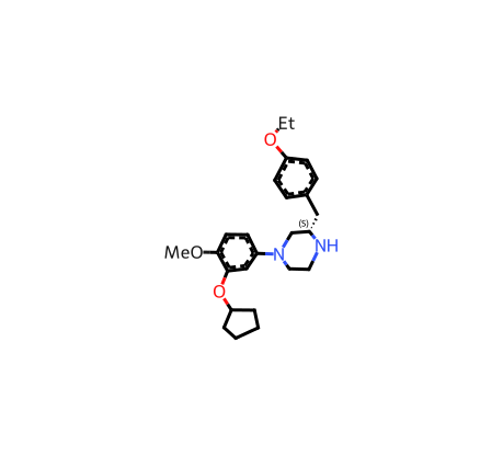 CCOc1ccc(C[C@H]2CN(c3ccc(OC)c(OC4CCCC4)c3)CCN2)cc1